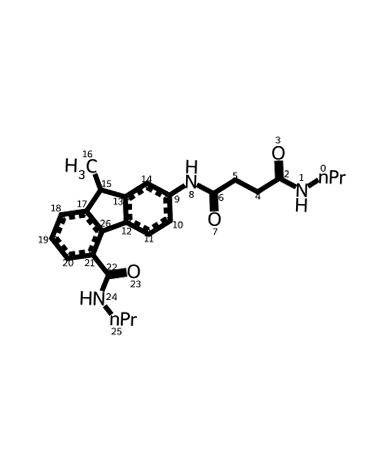 CCCNC(=O)CCC(=O)Nc1ccc2c(c1)C(C)c1cccc(C(=O)NCCC)c1-2